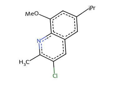 COc1cc(C(C)C)cc2cc(Cl)c(C)nc12